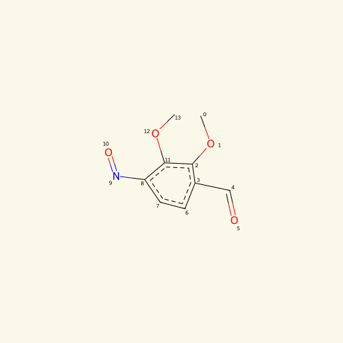 COc1c(C=O)ccc(N=O)c1OC